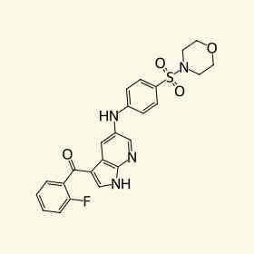 O=C(c1ccccc1F)c1c[nH]c2ncc(Nc3ccc(S(=O)(=O)N4CCOCC4)cc3)cc12